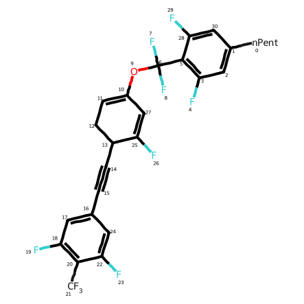 CCCCCc1cc(F)c(C(F)(F)OC2=CCC(C#Cc3cc(F)c(C(F)(F)F)c(F)c3)C(F)=C2)c(F)c1